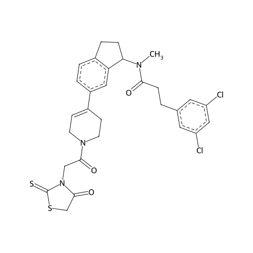 CN(C(=O)CCc1cc(Cl)cc(Cl)c1)C1CCc2ccc(C3=CCN(C(=O)CN4C(=O)CSC4=S)CC3)cc21